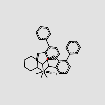 [CH3][Hf]([CH3])([CH3])(=[SiH2])([CH]1CCCCC1)([CH]1C=Cc2c(-c3ccccc3)cccc21)[CH]1C=Cc2c(-c3ccccc3)cccc21